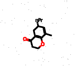 CCCC1C=C(C)C2=C(C1)C(=O)CCO2